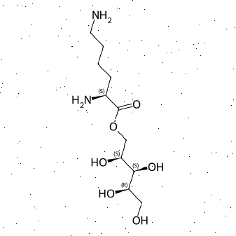 NCCCC[C@H](N)C(=O)OC[C@H](O)[C@@H](O)[C@H](O)CO